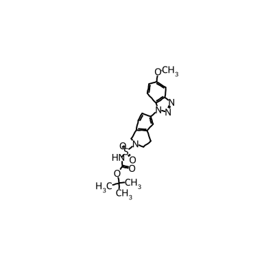 COc1ccc2c(c1)nnn2-c1ccc2c(c1)CCN(S(=O)(=O)NC(=O)OC(C)(C)C)C2